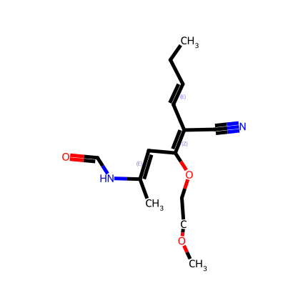 CC/C=C/C(C#N)=C(\C=C(/C)NC=O)OCCOC